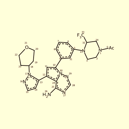 CC(=O)N1CCN(c2cccc(-c3cc(-c4ccnn4C4CCOCC4)c4c(N)ncnn34)c2)C(C(F)(F)F)C1